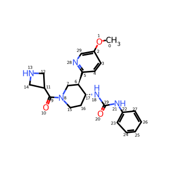 COc1ccc([C@@H]2CN(C(=O)C3CNC3)CC[C@H]2NC(=O)Nc2ccccc2)nc1